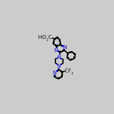 O=C(O)c1ccc2nc(-c3ccccc3)c(N3CCN(c4ncccc4C(F)(F)F)CC3)nc2c1